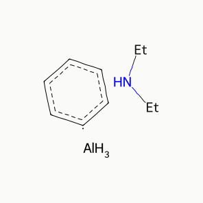 CCNCC.[AlH3].[c]1ccccc1